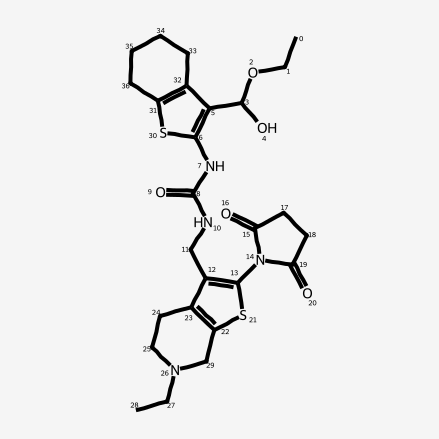 CCOC(O)c1c(NC(=O)NCc2c(N3C(=O)CCC3=O)sc3c2CCN(CC)C3)sc2c1CCCC2